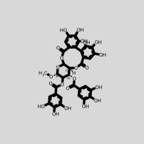 CO[C@@H]1OC2OC(=O)c3cc(O)c(O)c(O)c3-c3c(cc(O)c(O)c3O)C(=O)O[C@H]2[C@H](OC(=O)c2cc(O)c(O)c(O)c2)C1OC(=O)c1cc(O)c(O)c(O)c1